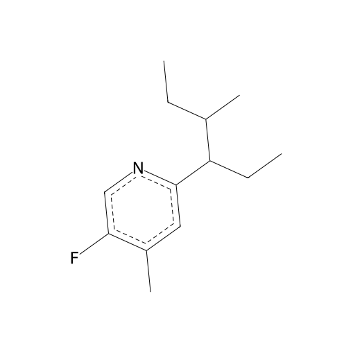 CCC(C)C(CC)c1cc(C)c(F)cn1